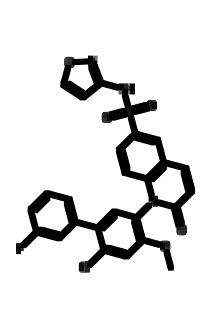 COc1cc(Cl)c(-c2cccc(F)c2)cc1-n1c(=O)ccc2cc(S(=O)(=O)Nc3ccon3)ccc21